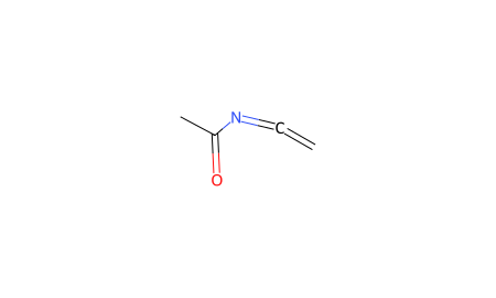 C=C=NC(C)=O